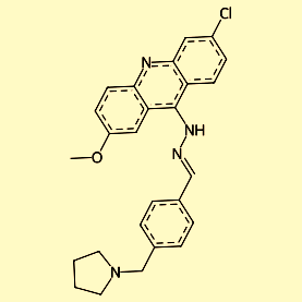 COc1ccc2nc3cc(Cl)ccc3c(NN=Cc3ccc(CN4CCCC4)cc3)c2c1